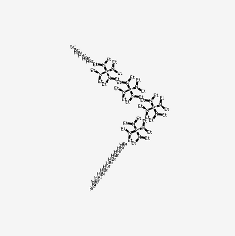 Br.Br.Br.Br.Br.Br.Br.Br.Br.Br.Br.Br.Br.Br.Br.CCN(CC)[P+](N(CC)CC)(N(CC)CC)N(CC)CC.CCN(CC)[P+](N(CC)CC)(N(CC)CC)N(CC)CC.CCN(CC)[P+](N(CC)CC)(N(CC)CC)N(CC)CC.CCN(CC)[P+](N(CC)CC)(N(CC)CC)N(CC)CC.[Br-].[Br-].[Br-].[Br-]